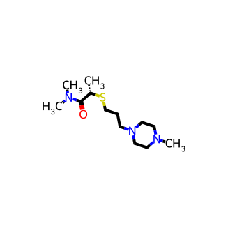 C[C@H](SCCCN1CCN(C)CC1)C(=O)N(C)C